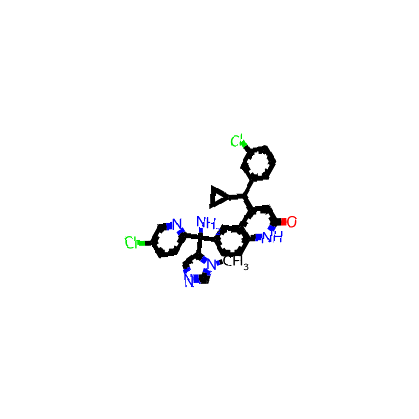 Cn1cncc1C(N)(c1ccc2[nH]c(=O)cc(C(c3cccc(Cl)c3)C3CC3)c2c1)c1ccc(Cl)cn1